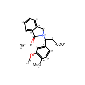 CCOc1cc(C(CC(=O)[O-])N2Cc3ccccc3C2=O)ccc1OC.[Na+]